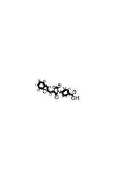 O=C(O)c1ccc(N2C(=O)/C(=C/c3cc4ccccc4o3)SC2=S)cc1